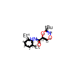 CCc1cccc(CC)c1NC(=O)C1=CON=C(C(C)(C)C)O1